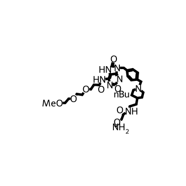 CCCCOc1nc(NC(=O)CCOCCOCCOC)c2[nH]c(=O)n(Cc3ccc(CN4CCC(CCNC(=O)CON)CC4)cc3)c2n1